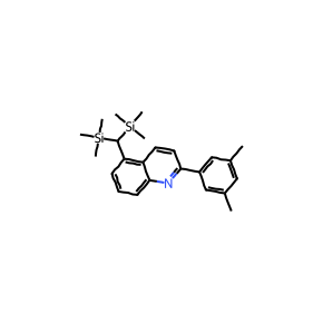 Cc1cc(C)cc(-c2ccc3c(C([Si](C)(C)C)[Si](C)(C)C)cccc3n2)c1